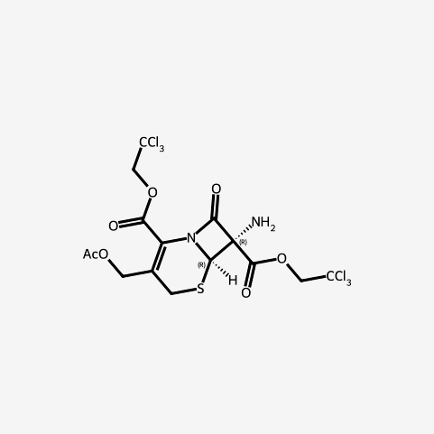 CC(=O)OCC1=C(C(=O)OCC(Cl)(Cl)Cl)N2C(=O)[C@@](N)(C(=O)OCC(Cl)(Cl)Cl)[C@H]2SC1